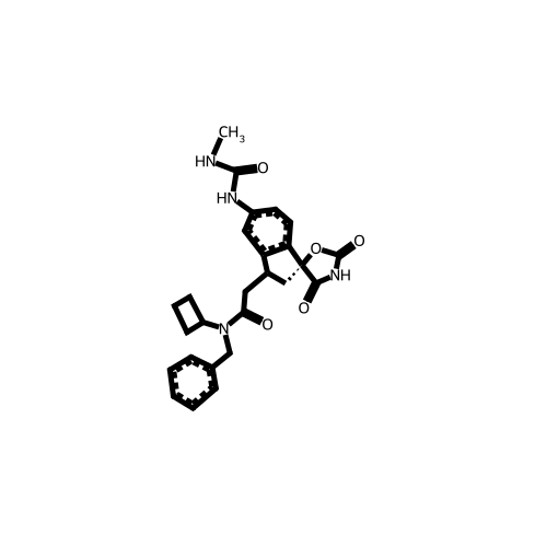 CNC(=O)Nc1ccc2c(c1)C(CC(=O)N(Cc1ccccc1)C1CCC1)C[C@@]21OC(=O)NC1=O